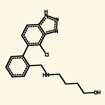 OCCCCNCc1ccccc1-c1ccc2[nH]nnc2c1Cl